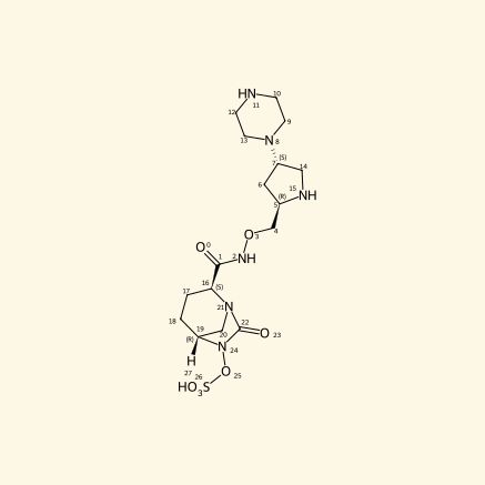 O=C(NOC[C@H]1C[C@H](N2CCNCC2)CN1)[C@@H]1CC[C@@H]2CN1C(=O)N2OS(=O)(=O)O